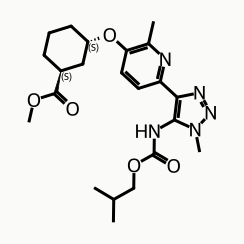 COC(=O)[C@H]1CCC[C@H](Oc2ccc(-c3nnn(C)c3NC(=O)OCC(C)C)nc2C)C1